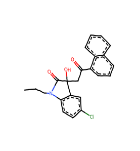 CCCN1C(=O)C(O)(CC(=O)c2cccc3ccccc23)c2cc(Cl)ccc21